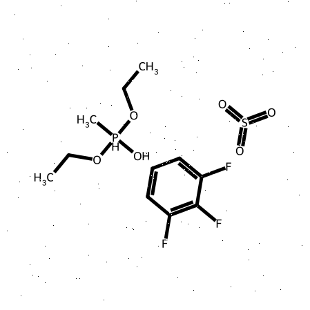 CCO[PH](C)(O)OCC.Fc1cccc(F)c1F.O=S(=O)=O